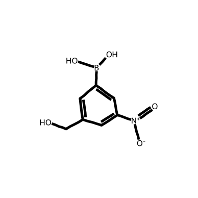 O=[N+]([O-])c1cc(CO)cc(B(O)O)c1